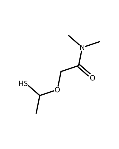 CC(S)OCC(=O)N(C)C